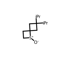 CC(C)C1(C(C)C)CC2(CC[S+]2[O-])C1